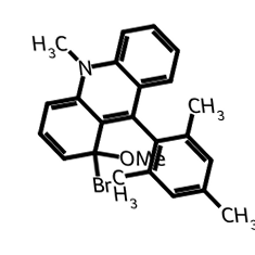 COC1(Br)C=CC=C2C1=C(c1c(C)cc(C)cc1C)c1ccccc1N2C